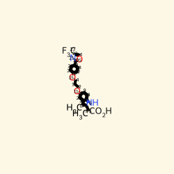 Cc1c(C(C)C(=O)O)[nH]c2ccc(OCCCOc3ccc(-c4nc(C(F)(F)F)co4)cc3)cc12